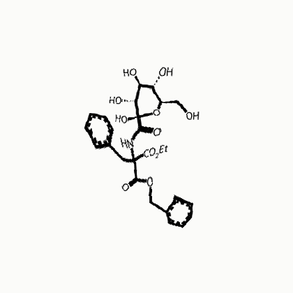 CCOC(=O)C(Cc1ccccc1)(NC(=O)[C@@]1(O)O[C@H](CO)[C@@H](O)[C@H](O)[C@H]1O)C(=O)OCc1ccccc1